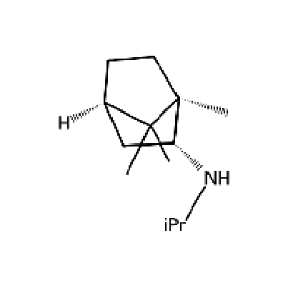 CC(C)N[C@@H]1C[C@H]2CC[C@]1(C)C2(C)C